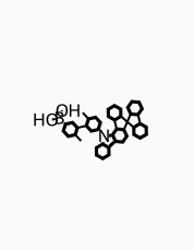 Cc1ccc(B(O)O)cc1-c1cc(-n2c3ccccc3c3ccc4c(c32)-c2ccccc2C42c3ccccc3-c3ccccc32)ccc1C